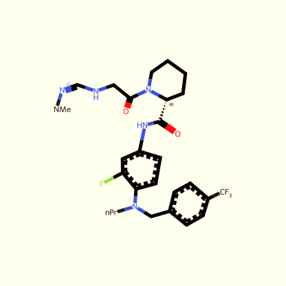 CCCN(Cc1ccc(C(F)(F)F)cc1)c1ccc(NC(=O)[C@H]2CCCCN2C(=O)CN/C=N\NC)cc1F